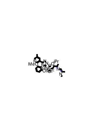 C=N/C(C)=C\N=C(/C)[C@H](OC(C)C)[C@H](C)S(=O)(=O)Nc1nnc(-c2cncc(C)c2)n1-c1c(OC)cccc1OC